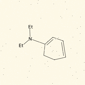 CCN(CC)C1=CC=CCC1